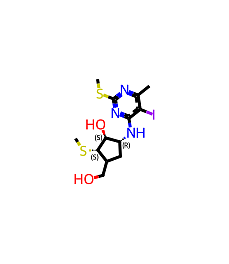 CSc1nc(C)c(I)c(N[C@@H]2CC(CO)[C@H](SC)[C@H]2O)n1